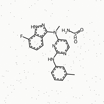 Cc1cccc(Nc2nccc(N(C)c3n[nH]c4c(F)cccc34)n2)c1.N[SH](=O)=O